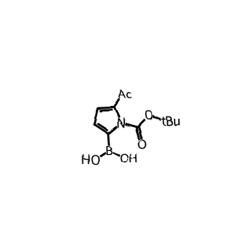 CC(=O)c1ccc(B(O)O)n1C(=O)OC(C)(C)C